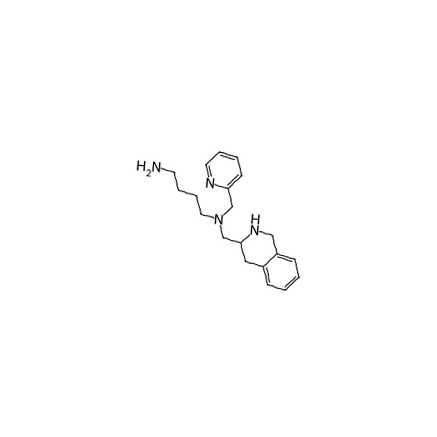 NCCCCN(Cc1ccccn1)CC1Cc2ccccc2CN1